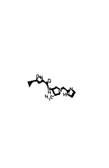 C[C@H]1CN(Cc2ncc[nH]2)CC1NC(=O)c1cc(C2CC2)on1